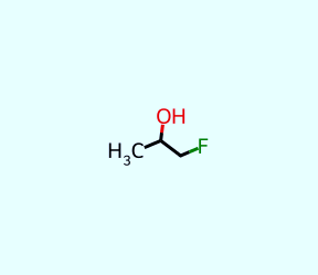 CC(O)CF